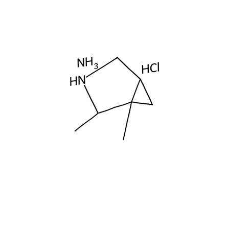 CC1NCC2CC21C.Cl.N